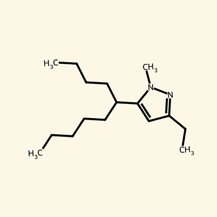 CCCCCC(CCCC)c1cc(CC)nn1C